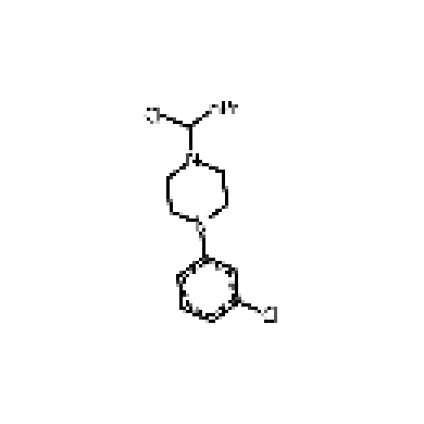 CCCC(Cl)N1CCN(c2cccc(Cl)c2)CC1